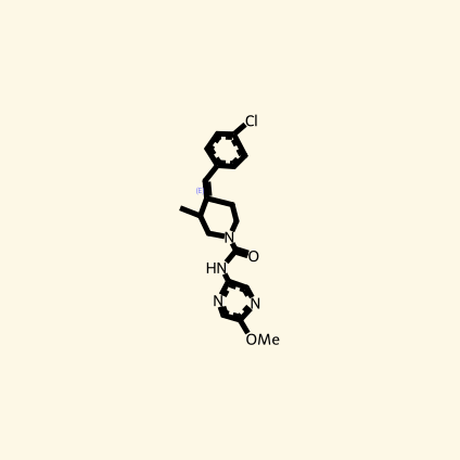 COc1cnc(NC(=O)N2CC/C(=C\c3ccc(Cl)cc3)C(C)C2)cn1